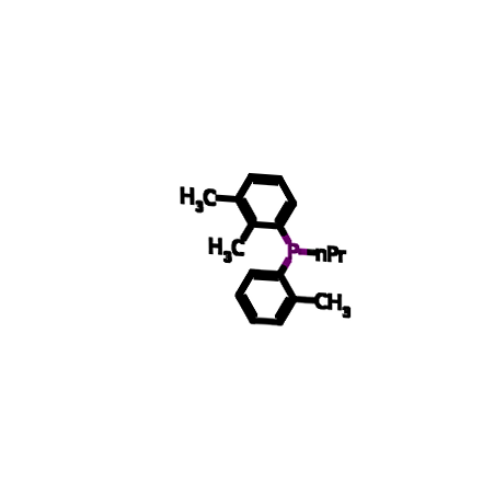 CCCP(c1ccccc1C)c1cccc(C)c1C